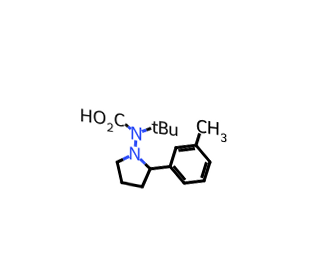 Cc1cccc(C2CCCN2N(C(=O)O)C(C)(C)C)c1